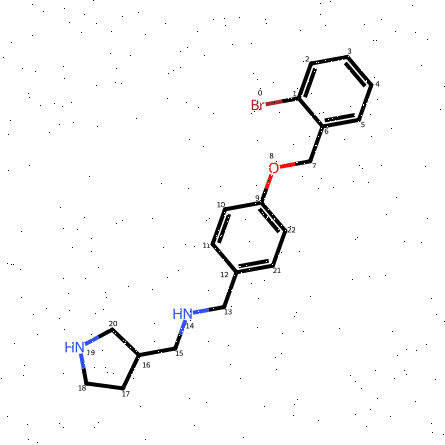 Brc1ccccc1COc1ccc(CNCC2CCNC2)cc1